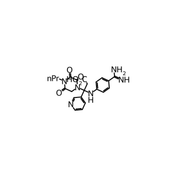 CCCN1C(=O)CN(C(CC(=O)O)(Nc2ccc(C(=N)N)cc2)c2cccnc2)C(=O)C1=O